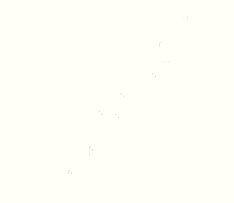 O=C(Nc1ccc2c(c1)nc(CN1CCC(c3cccc(OCc4ccc(Cl)cc4F)n3)CC1)n2CC1CCO1)c1ccc(C2CC2)nc1